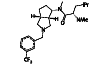 CN[C@@H](CC(C)C)C(=O)N(C)[C@H]1CC[C@H]2CN(Cc3cccc(C(F)(F)F)c3)C[C@H]21